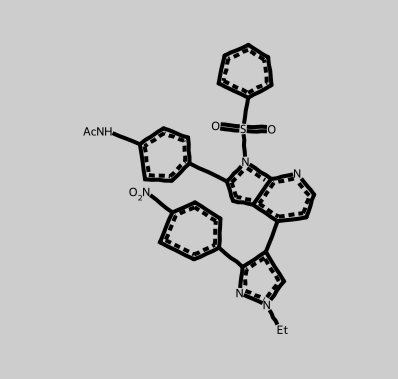 CCn1cc(-c2ccnc3c2cc(-c2ccc(NC(C)=O)cc2)n3S(=O)(=O)c2ccccc2)c(-c2ccc([N+](=O)[O-])cc2)n1